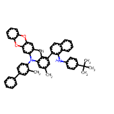 Cc1cc(-c2ccc3ccccc3c2Nc2ccc(C(C)(C)C)cc2)c2c(c1)N(c1ccc(-c3ccccc3)cc1C)c1cc3c(cc1B2)Oc1ccccc1O3